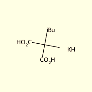 CCC(C)C(C)(C(=O)O)C(=O)O.[KH]